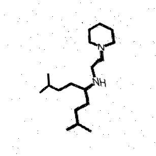 CC(C)CCC(CCC(C)C)NCCN1CCCCC1